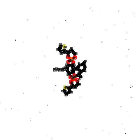 C=C(C)C1CCC(C)=CC1c1c(OP2(=O)OCCC(c3cccs3)O2)cc(CCCCC)cc1OP1(=O)OCCC(c2cccs2)O1